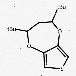 CC(C)(C)C1CC(C(C)(C)C)Oc2cscc2O1